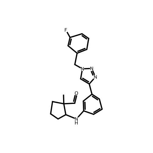 CC1(C=O)CCCC1Nc1cccc(-c2cn(Cc3cccc(F)c3)nn2)c1